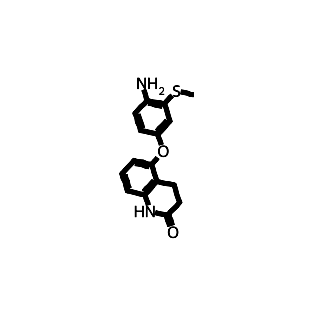 CSc1cc(Oc2cccc3c2CCC(=O)N3)ccc1N